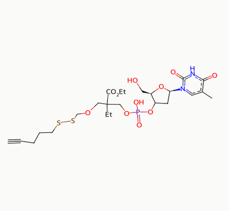 C#CCCCSSCOCC(CC)(COP(=O)(O)OC1C[C@H](n2cc(C)c(=O)[nH]c2=O)O[C@@H]1CO)C(=O)OCC